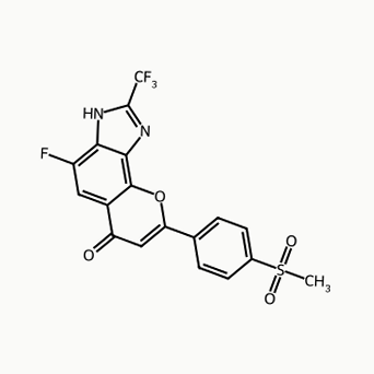 CS(=O)(=O)c1ccc(-c2cc(=O)c3cc(F)c4[nH]c(C(F)(F)F)nc4c3o2)cc1